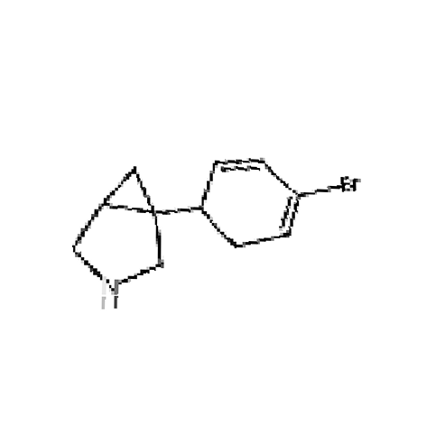 BrC1=CCC(C23CNCC2C3)C=C1